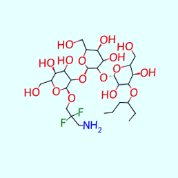 CCCC(CC)OC1C(O)[C@H](OC2C(O)[C@H](O)C(CO)O[C@@H]2OC2C(O)[C@H](O)C(CO)O[C@@H]2OCC(F)(F)CN)OC(CO)[C@H]1O